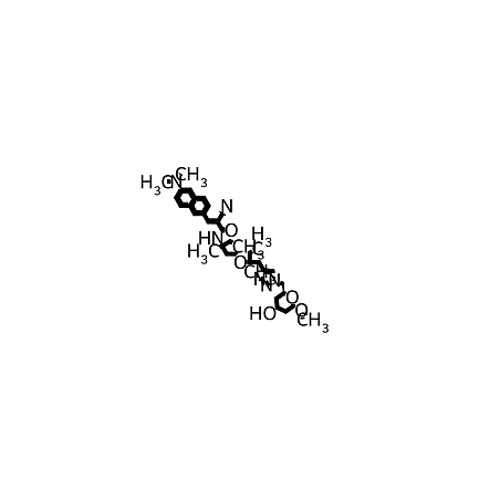 CCC(C)(CCOC(C)(CC)Cc1cn(C[C@@H]2C[C@H](O)C[C@@H](OC)O2)nn1)NC(=O)/C(C#N)=C/c1ccc2cc(N(C)C)ccc2c1